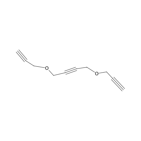 C#CCOCC#CCOCC#C